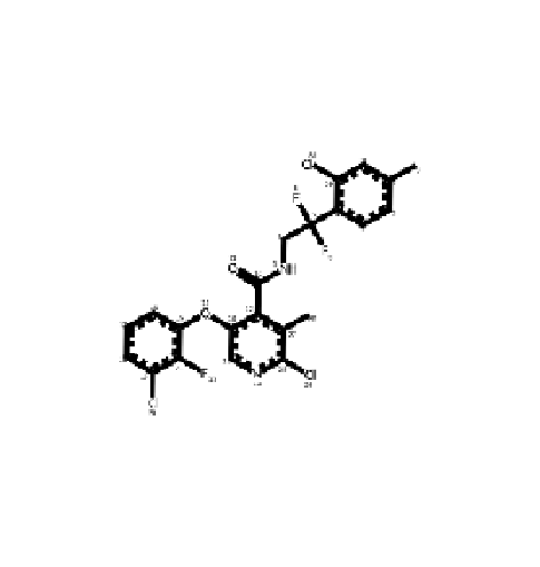 Cc1ccc(C(F)(F)CNC(=O)c2c(Oc3cccc(Cl)c3F)cnc(Cl)c2C)c(Cl)c1